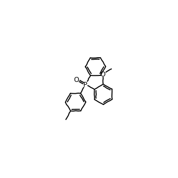 COc1ccccc1P(=O)(c1ccccc1)c1ccc(C)cc1